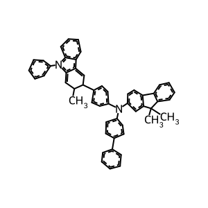 CC1C=c2c(c3ccccc3n2-c2ccccc2)=CC1c1ccc(N(c2ccc(-c3ccccc3)cc2)c2ccc3c(c2)C(C)(C)c2ccccc2-3)cc1